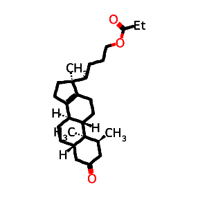 CCC(=O)OCCCC[C@]1(C)CCC2=C1CC[C@H]1[C@H]2CC[C@H]2CC(=O)C[C@H](C)[C@@]21C